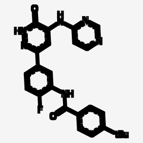 CC(C)(C)c1ccc(C(=O)Nc2cc(-c3cc(Nc4ccncn4)c(=O)[nH]n3)ccc2F)cc1